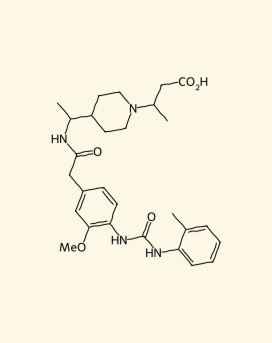 COc1cc(CC(=O)NC(C)C2CCN(C(C)CC(=O)O)CC2)ccc1NC(=O)Nc1ccccc1C